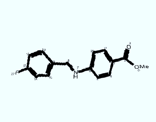 COC(=O)c1ccc(NCc2ccc(F)cc2)cc1